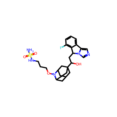 NS(=O)(=O)NCCCON1C2CC3CC1CC(C(O)CC1c4c(F)cccc4-c4cncn41)(C3)C2